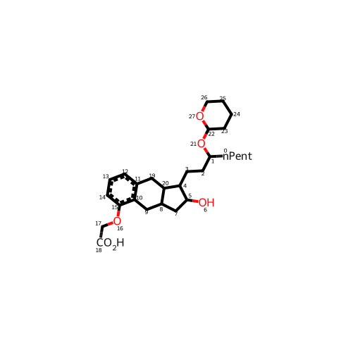 CCCCCC(CCC1C(O)CC2Cc3c(cccc3OCC(=O)O)CC21)OC1CCCCO1